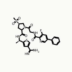 C[C@@H](NC(=O)C1C[C@@H](S(C)(=O)=O)CN1C(=O)CNC(=O)c1ncc(-c2ccccc2)cc1F)c1cc(C(=N)N)cs1